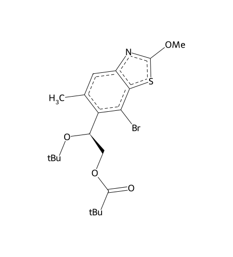 COc1nc2cc(C)c([C@@H](COC(=O)C(C)(C)C)OC(C)(C)C)c(Br)c2s1